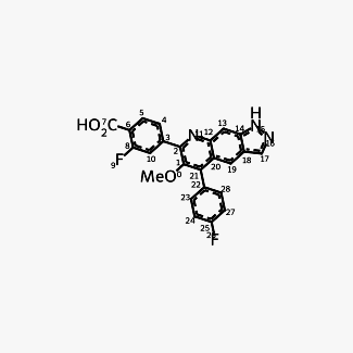 COc1c(-c2ccc(C(=O)O)c(F)c2)nc2cc3[nH]ncc3cc2c1-c1ccc(F)cc1